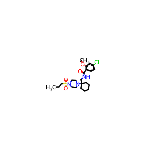 CCCS(=O)(=O)N1CCN(C2(CNC(=O)c3ccc(Cl)cc3OC)CCCCC2)CC1